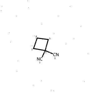 N#CC1(C#N)C[CH]C1